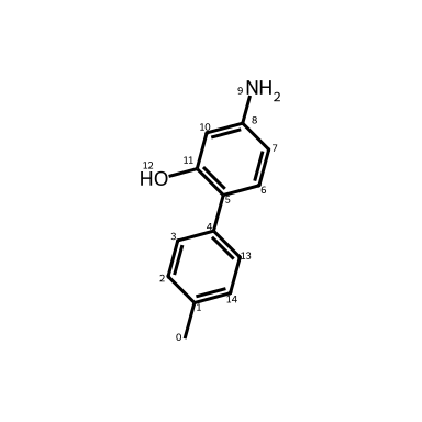 Cc1ccc(-c2ccc(N)cc2O)cc1